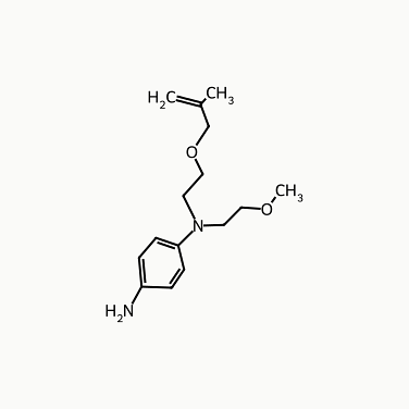 C=C(C)COCCN(CCOC)c1ccc(N)cc1